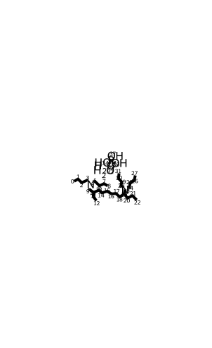 CCCCN(CCCC)CC(CC)CCCCCCC(CCC)N(CCCC)CCCC.O.O.OP(O)O